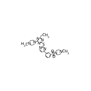 CCc1nc(Sc2nccc(-c3cccc(S(=O)(=O)N4CCN(C)CC4)c3)n2)nc(N2CCN(C)CC2)n1